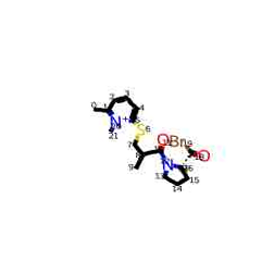 Cc1cccc(SCC(C)C(=O)N2CCC[C@H]2C(=O)Br)[n+]1C